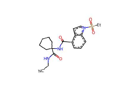 CCS(=O)(=O)n1ccc2c(C(=O)NC3(C(=O)NCC#N)CCCCC3)cccc21